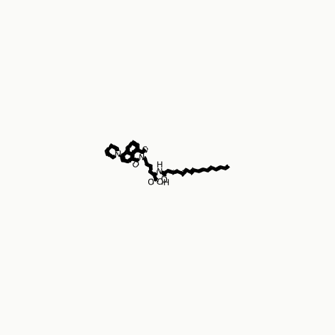 CCCCCCCCCCCCCCCC(=O)NC(CCCCN1C(=O)c2cccc3c(N4CCCCC4)ccc(c23)C1=O)C(=O)O